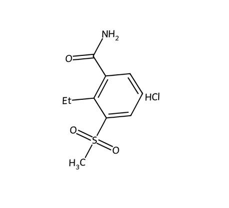 CCc1c(C(N)=O)cccc1S(C)(=O)=O.Cl